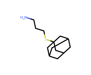 NCCCSC12CC3CC(CC(C3)C1)C2